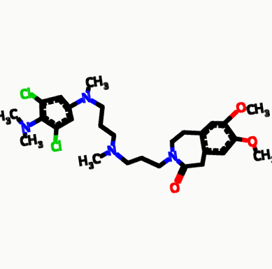 COc1cc2c(cc1OC)CC(=O)N(CCCN(C)CCCN(C)c1cc(Cl)c(N(C)C)c(Cl)c1)CC2